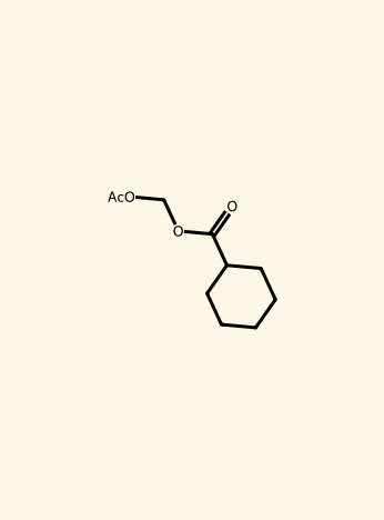 CC(=O)OCOC(=O)C1CCCCC1